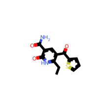 CCc1[nH]c(=O)c(C(N)=O)cc1C(=O)c1cccs1